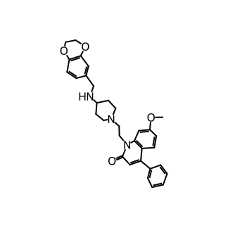 COc1ccc2c(-c3ccccc3)cc(=O)n(CCN3CCC(NCc4ccc5c(c4)OCCO5)CC3)c2c1